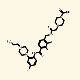 NC(=O)N1CCN(CC(=O)NCc2ccc(C(=O)Nc3ccc(Cl)cc3N3CCN(CCC(F)(F)F)CC3)c(F)c2F)CC1